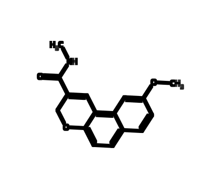 CNC(=O)C1=Cc2c(ccc3ccc(OC)cc23)OC1